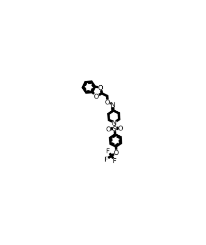 O=S(=O)(c1ccc(OC(F)(F)F)cc1)N1CCC(=NOCC2Oc3ccccc3O2)CC1